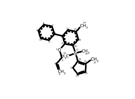 C=CCOc1c(-c2ccccc2)cc(C)cc1[Si](C)(C)C1=C(C)C=CC1